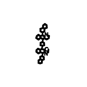 c1ccc2cc(-c3c4ccccc4c(-c4ccc(-c5c6ccccc6c(-c6ccc7ccccc7c6)c6ncccc56)cc4)c4cccnc34)ccc2c1